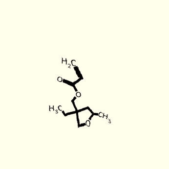 C=CC(=O)OCC1(CC)COC(C)C1